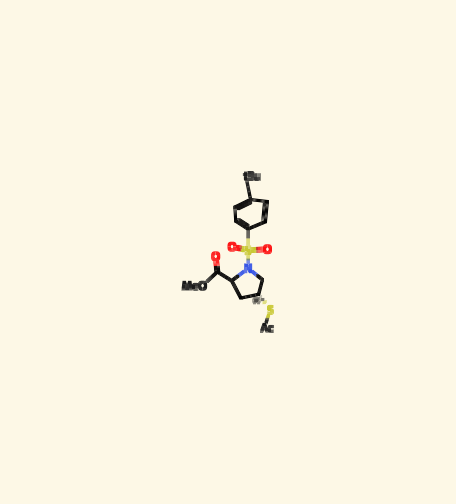 COC(=O)C1C[C@@H](SC(C)=O)CN1S(=O)(=O)c1ccc(C(C)(C)C)cc1